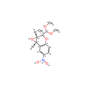 COC(OC)[C@@]1(C)Oc2ccc([N+](=O)[O-])cc2[C@@H]2O[C@@H]21